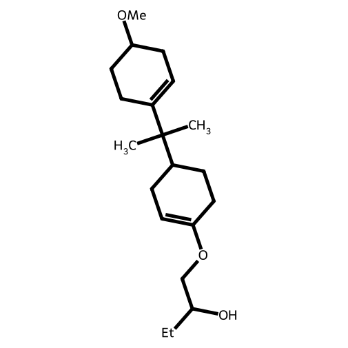 CCC(O)COC1=CCC(C(C)(C)C2=CCC(OC)CC2)CC1